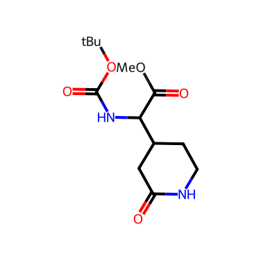 COC(=O)C(NC(=O)OC(C)(C)C)C1CCNC(=O)C1